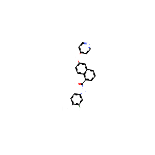 Cc1ccc(NC(=O)c2cccc3cc(Oc4ccncc4)ccc23)cc1Cl